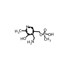 Cc1ncc(COP(C)(=O)O)c(CN)c1O